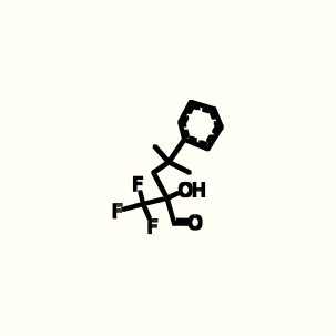 CC(C)(CC(O)(C=O)C(F)(F)F)c1ccccc1